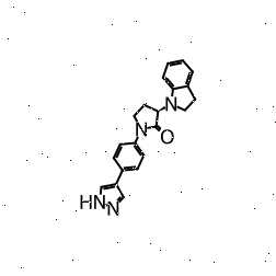 O=C1[C@H](N2CCc3ccccc32)CCN1c1ccc(-c2cn[nH]c2)cc1